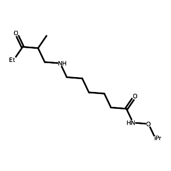 CCC(=O)C(C)CNCCCCCC(=O)NOC(C)C